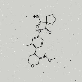 CON=C1COCCN1c1ccc(NC(=O)C2(C([NH])=O)CCCC2)cc1C